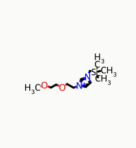 COCCOCC[n+]1ccn(C[Si](C)(C)C)c1